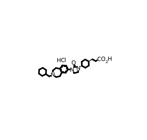 Cl.O=C(O)CC[C@H]1CC[C@H](N2CCN(c3ccc4c(c3)CCN(CC3CCCCC3)CC4)C2=O)CC1